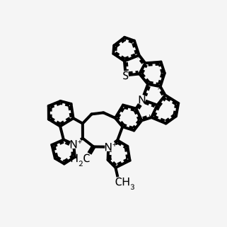 C=C1C2C(CCc3cc4c(cc3-c3ccc(C)c[n+]31)c1cccc3c5ccc6c7ccccc7sc6c5n4c13)c1ccccc1-c1cccc[n+]12